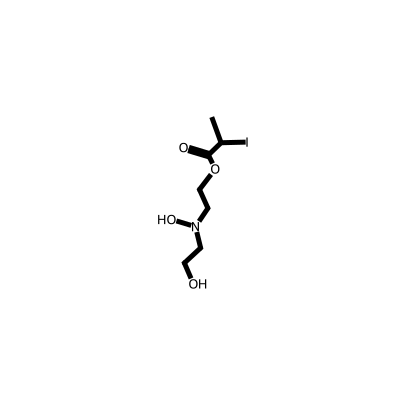 CC(I)C(=O)OCCN(O)CCO